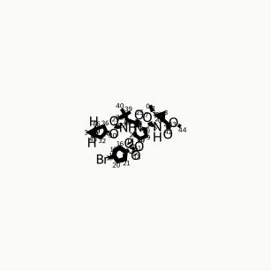 CC[C@@H]1C[C@]1(NC(=O)[C@@H]1C[C@H](OS(=O)(=O)c2ccc(Br)cc2)CN1C(=O)[C@@H](NC(=O)O[C@@H]1C[C@@H]2C[C@@H]2C1)C(C)(C)C)C(=O)OC